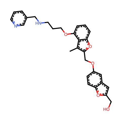 Cc1c(COc2ccc3oc(CO)cc3c2)oc2cccc(OCCCNCc3cccnc3)c12